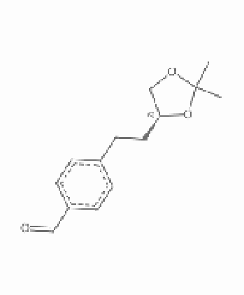 CC1(C)OC[C@H](CCc2ccc(C=O)cc2)O1